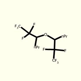 CCCC(OC(CCC)C(F)(F)C(F)(F)F)C(F)(F)C(F)(F)F